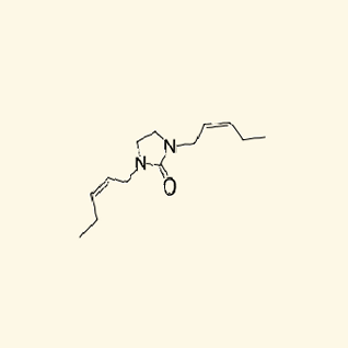 CC/C=C\CN1CCN(C/C=C\CC)C1=O